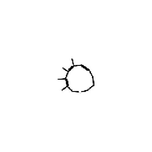 CC1=C(C)/C(C)=C(/C)CCCCC/C=C\1